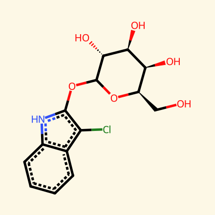 OC[C@H]1OC(Oc2[nH]c3ccccc3c2Cl)[C@H](O)[C@@H](O)[C@H]1O